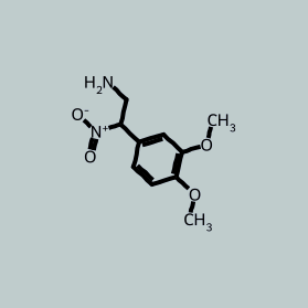 COc1ccc(C(CN)[N+](=O)[O-])cc1OC